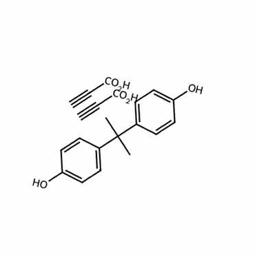 C#CC(=O)O.C#CC(=O)O.CC(C)(c1ccc(O)cc1)c1ccc(O)cc1